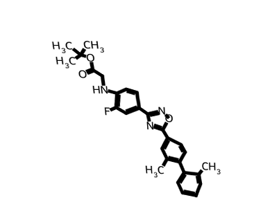 Cc1ccccc1-c1ccc(-c2nc(-c3ccc(NCC(=O)OC(C)(C)C)c(F)c3)no2)cc1C